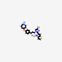 CCc1cn(CCCc2ccc(OC3CCCNCC3)cc2)c(-c2cc3sccc3n2C)n1